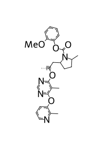 COc1ccccc1OC(=O)N1C(C)CCC1C[C@@H](C)Oc1ncnc(Oc2cccnc2C)c1C